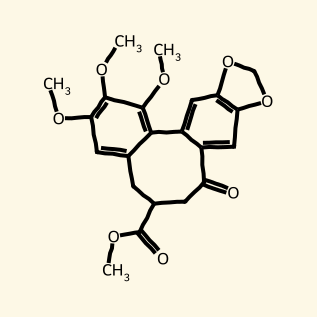 COC(=O)C1CC(=O)c2cc3c(cc2-c2c(cc(OC)c(OC)c2OC)C1)OCO3